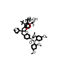 COc1ccc(N(c2ccc(OC)cc2OC)S(=O)(=O)c2ccc(CC(Cc3ccc(C(F)(F)P(=O)(O)O)c(C(C)(C)C)c3C(C)(C)C)(C(=O)c3ccccc3)c3ccccc3)cc2)c(OC)c1